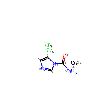 NC(=O)n1ccnc1.[Cl-].[Cl-].[Cu+2]